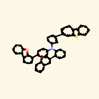 c1cc(-c2ccc3c(c2)sc2ccccc23)cc(N(c2ccc(-c3cccc4c3oc3ccccc34)cc2)c2ccccc2-c2ccc3ccccc3c2)c1